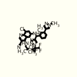 Cc1c(-c2cnn(C)c2)cccc1[C@H](Nc1cc(Cl)c2ncc(C#N)c(NCC(C)(C)C)c2c1)c1cn(C2(C(F)F)CC2)nn1